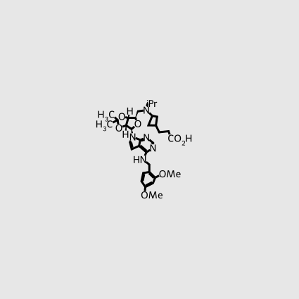 COc1ccc(CNc2ncnc3c2ccn3[C@@H]2O[C@H](CN(C(C)C)C3CC(CCC(=O)O)C3)[C@H]3OC(C)(C)O[C@H]32)c(OC)c1